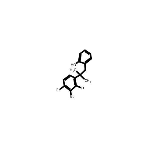 CCc1ccc(C(C)(C)Cc2ccccc2O)c(CC)c1CC